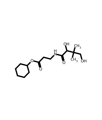 CC(C)(CO)C(O)C(=O)NCCC(=O)OC1CCCCC1